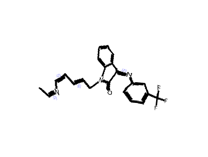 C\C=N/C=C\C=C\CN1C(=O)/C(=N\c2cccc(C(F)(F)F)c2)c2ccccc21